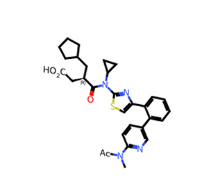 CC(=O)N(C)c1ccc(-c2ccccc2-c2csc(N(C(=O)[C@@H](CC(=O)O)CC3CCCC3)C3CC3)n2)cn1